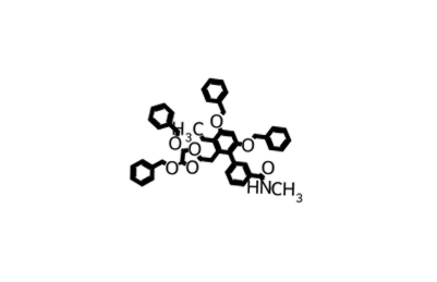 CCc1c(OCc2ccccc2)cc(OCc2ccccc2)c(-c2cccc(C(=O)NC)c2)c1CC1O[C@@H](OCc2ccccc2)[C@H](OCc2ccccc2)O1